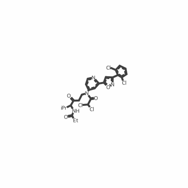 CCC(=O)NC(C(=O)CCN(C(=O)C(Cl)Cl)c1ccnc(-c2cc(-c3c(Cl)cccc3Cl)no2)c1)C(C)C